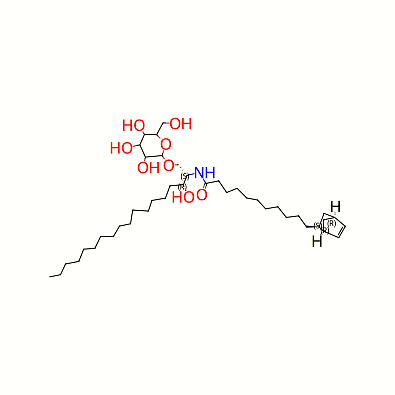 CCCCCCCCCCCCCCC[C@@H](O)[C@H](COC1OC(CO)C(O)C(O)C1O)NC(=O)CCCCCCCCCC[C@H]1C[C@H]2C=C[C@@H]1C2